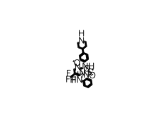 COc1cc(C2CCNCC2)ccc1Nc1ncc(C(F)(F)F)c(Nc2ccccc2NS(C)(=O)=O)n1